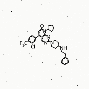 O=c1cc(-c2ccc(C(F)(F)F)c(Cl)c2)c2cnc(N3CCC(NCCc4ccccc4)CC3)nc2n1C1CCCC1